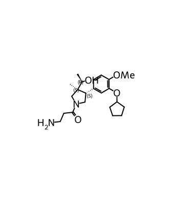 COc1ccc([C@@H]2CN(C(=O)CCN)C[C@@]2(C)[C@@H](C)O)cc1OC1CCCC1